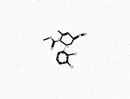 COC(=O)[C@H]1C(C)=CC(=C=O)C[C@@H]1c1cccc(Cl)c1Cl